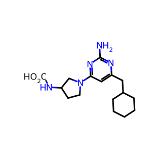 Nc1nc(CC2CCCCC2)cc(N2CCC(NC(=O)O)C2)n1